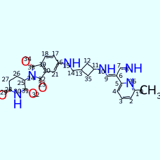 Cc1cccc(/C(C=N)=C/NC2CC(CNc3ccc4c(c3)C(=O)N(C3CCC(=O)NC3=O)C4=O)C2)n1